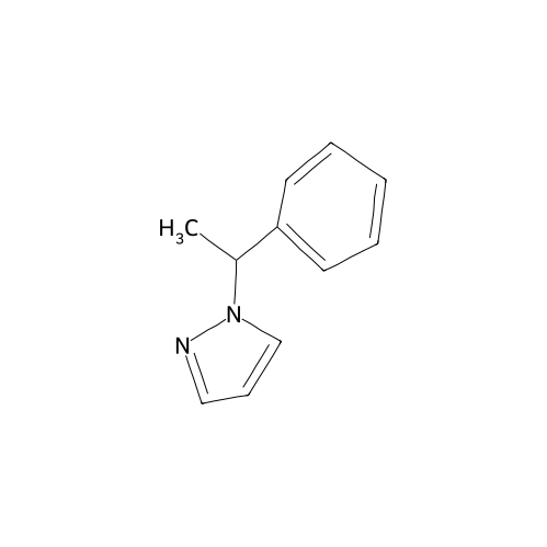 CC(c1ccccc1)n1cccn1